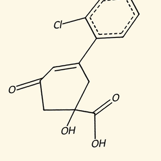 O=C1C=C(c2ccccc2Cl)CC(O)(C(=O)O)C1